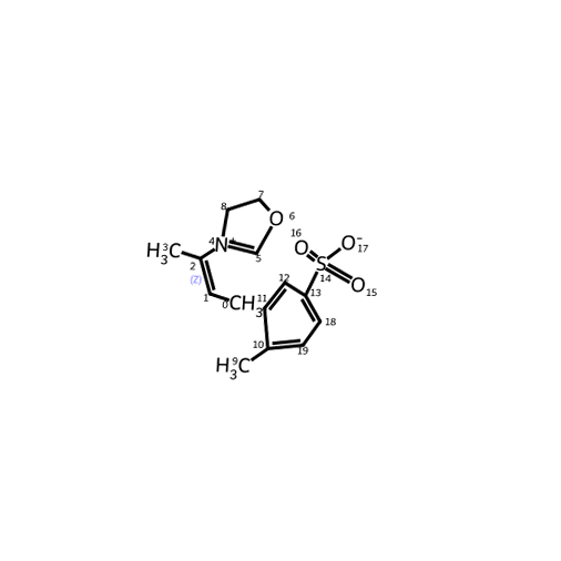 C/C=C(/C)[N+]1=COCC1.Cc1ccc(S(=O)(=O)[O-])cc1